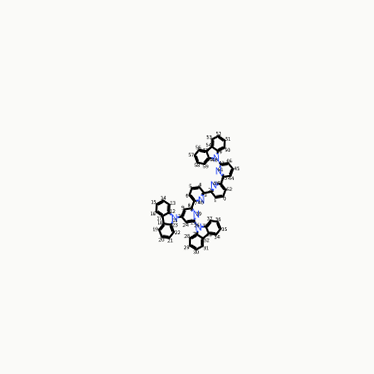 c1cc(-c2cccc(-c3cc(-n4c5ccccc5c5ccccc54)cc(-n4c5ccccc5c5ccccc54)n3)n2)nc(-c2cccc(-n3c4ccccc4c4ccccc43)n2)c1